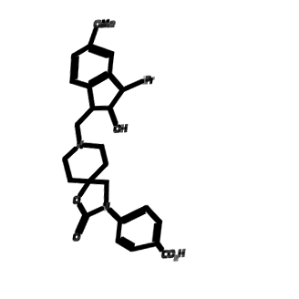 COc1ccc2c(c1)C(C(C)C)C(O)C2CN1CCC2(CC1)CN(c1ccc(C(=O)O)cc1)C(=O)O2